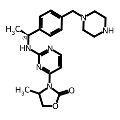 CC1COC(=O)N1c1ccnc(N[C@@H](C)c2ccc(CN3CCNCC3)cc2)n1